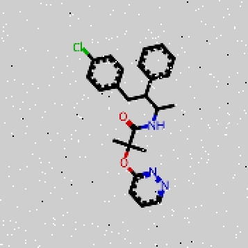 CC(NC(=O)C(C)(C)Oc1cccnn1)C(Cc1ccc(Cl)cc1)c1ccccc1